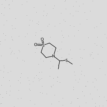 CSC(C)N1CCS(=O)(=O)CC1